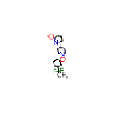 [O]c1cccc(C2CCN(Oc3cccc(C(F)(F)C(F)(F)F)c3)CC2)n1